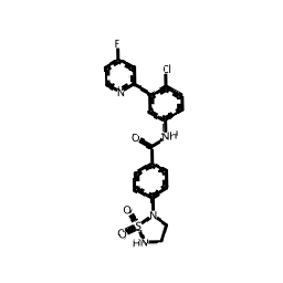 O=C(Nc1ccc(Cl)c(-c2cc(F)ccn2)c1)c1ccc(N2CCNS2(=O)=O)cc1